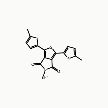 CCCN1C(=O)c2c(-c3ccc(C)s3)sc(-c3ccc(C)s3)c2C1=O